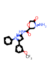 NN1CC(C(=O)Nc2cc(-c3cccc(OC(F)(F)F)c3)n(-c3ccccc3)n2)OCC1=O